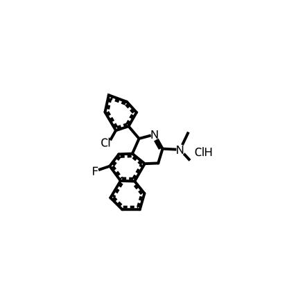 CN(C)C1=NC(c2ccccc2Cl)c2cc(F)c3ccccc3c2C1.Cl